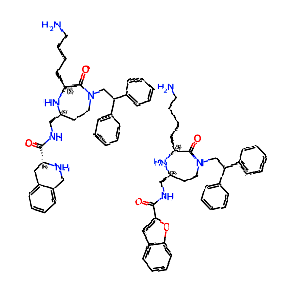 NCCCC[C@@H]1N[C@H](CNC(=O)[C@H]2Cc3ccccc3CN2)CCN(CC(c2ccccc2)c2ccccc2)C1=O.NCCCC[C@@H]1N[C@H](CNC(=O)c2cc3ccccc3o2)CCN(CC(c2ccccc2)c2ccccc2)C1=O